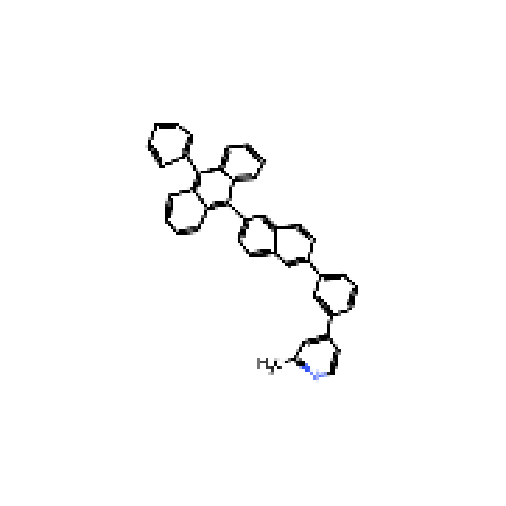 Cc1cc(-c2cccc(-c3ccc4cc(-c5c6ccccc6c(-c6ccccc6)c6ccccc56)ccc4c3)c2)ccn1